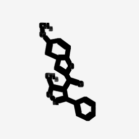 COc1ccc2oc(C(=O)c3c(-c4ccccc4)noc3C)cc2c1